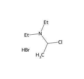 Br.CCN(CC)C(C)Cl